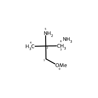 COCC(C)(C)N.N